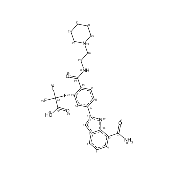 NC(=O)c1cccc2cn(-c3ccc(C(=O)NCCN4CCCCC4)cc3)nc12.O=C(O)C(F)(F)F